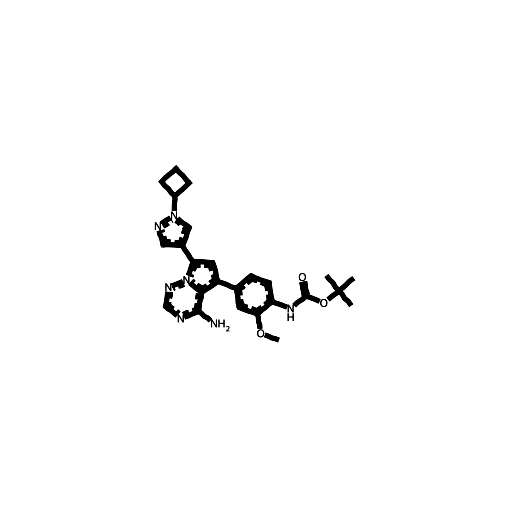 COc1cc(-c2cc(-c3cnn(C4CCC4)c3)n3ncnc(N)c23)ccc1NC(=O)OC(C)(C)C